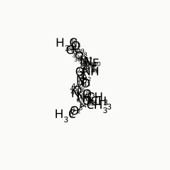 COCC1CC1CN(C(=O)OC(C)(C)C)c1cc(-c2nc(C(=O)Nc3cn(-c4ccc(C(=O)OC)cc4)nc3C(F)F)co2)ccn1